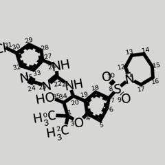 CC1(C)Oc2ccc(S(=O)(=O)N3CCCCCC3)cc2C(NC(=NC#N)Nc2ccc(Cl)cc2)C1O